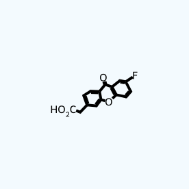 O=C(O)Cc1ccc2c(=O)c3cc(F)ccc3oc2c1